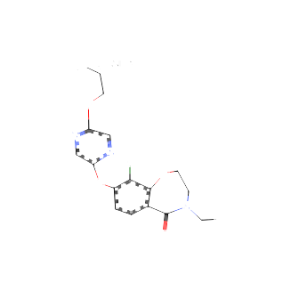 CC(=O)N[C@@H](C)COc1cnc(Oc2ccc3c(c2Cl)OCCN(CC(F)(F)F)C3=O)cn1